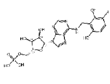 O=P(O)(O)OC[C@H]1O[C@@H](n2cnc3c(NCc4c(O)ccc(I)c4O)ncnc32)[C@H](O)[C@@H]1O